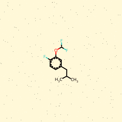 CC(C)Cc1ccc(F)c(OC(F)F)c1